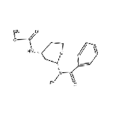 CCN(C(=O)c1ccccc1)[C@H]1CCC[C@@H](NC(=O)OC(C)(C)C)C1